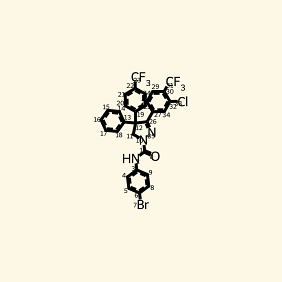 O=C(Nc1ccc(Br)cc1)N1CC(c2ccccc2)(c2ccc(C(F)(F)F)cc2)C(c2ccc(C(F)(F)F)c(Cl)c2)=N1